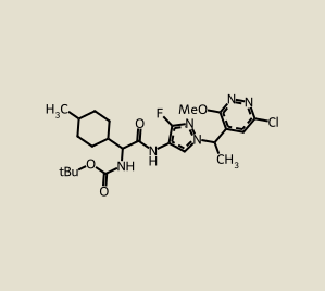 COc1nnc(Cl)cc1C(C)n1cc(NC(=O)C(NC(=O)OC(C)(C)C)C2CCC(C)CC2)c(F)n1